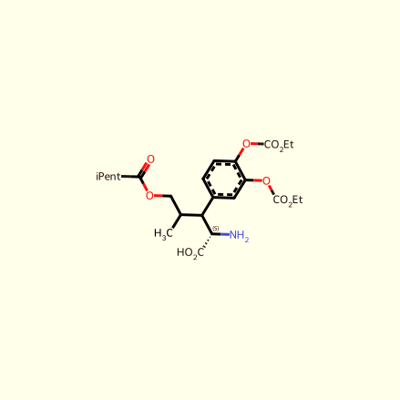 CCCC(C)C(=O)OCC(C)C(c1ccc(OC(=O)OCC)c(OC(=O)OCC)c1)[C@H](N)C(=O)O